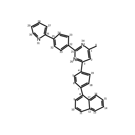 Cc1cc(-c2ccc(-c3cccc4ccccc34)cc2)nc(-c2ccc(-c3ccccn3)cc2)n1